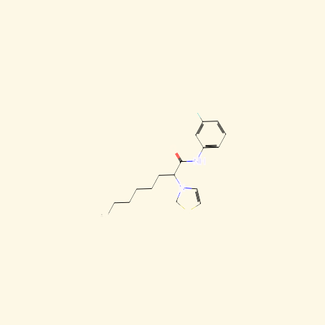 CC(=O)CCCCCC(C(=O)Nc1cccc(F)c1)N1C=CSC1